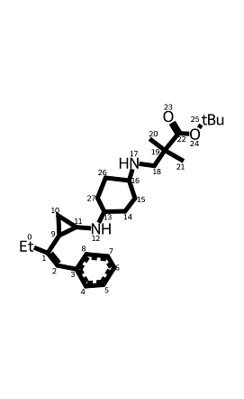 CCC(=Cc1ccccc1)C1CC1NC1CCC(NCC(C)(C)C(=O)OC(C)(C)C)CC1